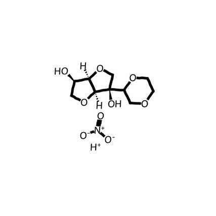 O=[N+]([O-])[O-].O[C@@H]1CO[C@H]2[C@@H]1OC[C@]2(O)C1COCCO1.[H+]